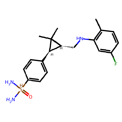 Cc1ccc(F)cc1NC[C@@H]1[C@@H](c2ccc([SH](N)(N)=O)cc2)C1(C)C